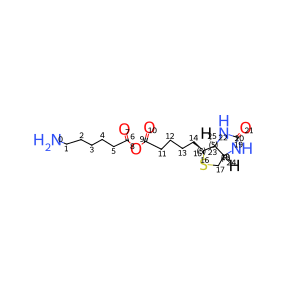 NCCCCCC(=O)OC(=O)CCCC[C@@H]1SC[C@@H]2NC(=O)N[C@@H]21